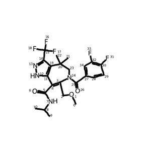 COCC1=C(C(=O)NC(C)C)c2[nH]nc(C(F)(F)F)c2C(C)(C)CN1C(=O)c1ccc(F)c(F)c1